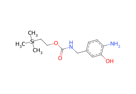 C[Si](C)(C)CCOC(=O)NCc1ccc(N)c(O)c1